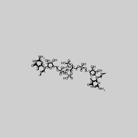 C/N=C/N(c1nc(N)[nH]c(=O)c1C)[C@@H]1O[C@H](COP(=O)(O)OC[C@H](OP(=O)(O)O)[C@H](COP(=O)(O)OC[C@H]2O[C@@H](N(/C=N/C)c3nc(N)[nH]c(=O)c3C)[C@H](O)[C@@H]2O)OP(=O)(O)O)[C@@H](O)[C@H]1O